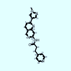 Cn1cc(-c2ccc3cnc(NC(=O)CCc4ccncc4)cc3n2)cn1